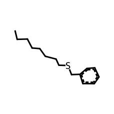 CCCCCCCCSCc1ccccc1